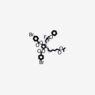 CC(C)OC(=O)CCC/C=C\C[C@@H]1[C@@H](/C=C/C(F)(F)COc2ccccc2)[C@H](OC(=O)c2ccc(Br)cc2)C[C@@H]1OC(=O)c1ccc(Br)cc1